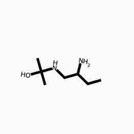 CCC(N)CNC(C)(C)O